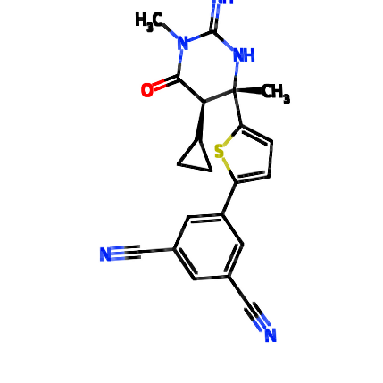 CN1C(=N)N[C@](C)(c2ccc(-c3cc(C#N)cc(C#N)c3)s2)[C@@H](C2CC2)C1=O